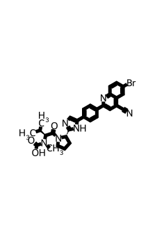 CC(C)[C@@H](C(=O)N1CCC[C@H]1c1ncc(-c2ccc(-c3cc(C#N)c4cc(Br)ccc4n3)cc2)[nH]1)N(C)C(=O)O